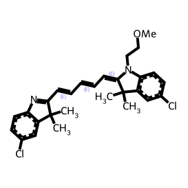 COCCN1/C(=C/C=C/C=C/C2=Nc3ccc(Cl)cc3C2(C)C)C(C)(C)c2cc(Cl)ccc21